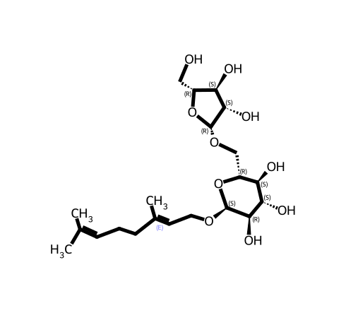 CC(C)=CCC/C(C)=C/CO[C@H]1O[C@H](CO[C@@H]2O[C@H](CO)[C@@H](O)[C@@H]2O)[C@@H](O)[C@H](O)[C@H]1O